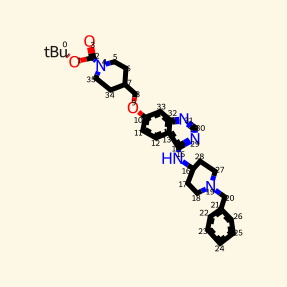 CC(C)(C)OC(=O)N1CCC(COc2ccc3c(NC4CCN(Cc5ccccc5)CC4)ncnc3c2)CC1